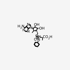 CC(N[P@](=O)(OC[C@H]1C(C)[C@@H](n2cnc3c(N)ncnc32)[C@H](O)[C@@H]1O)Oc1ccccc1)C(=O)O